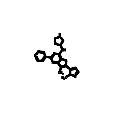 Cc1c(-c2ccnn2C)sc2c(NC3CCNC3)nc(-c3ccncc3)nc12